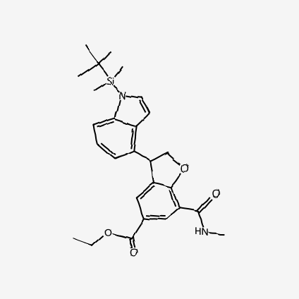 CCOC(=O)c1cc(C(=O)NC)c2c(c1)C(c1cccc3c1ccn3[Si](C)(C)C(C)(C)C)CO2